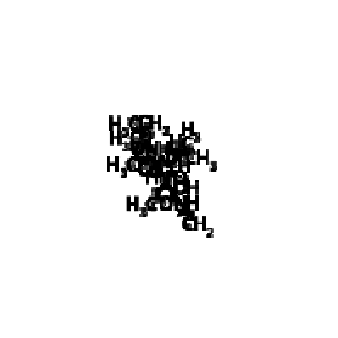 C=CCNC(=O)C(O)C(CCC)NC(=O)[C@@H]1[C@@H]2[C@H](CN1C(=O)[C@@H](NC(=O)OC(C)(C)C)C(C)(C)C)C2(C)C